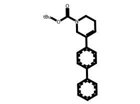 CC(C)(C)OC(=O)N1CCC=C(c2ccc(-c3ccccc3)cc2)C1